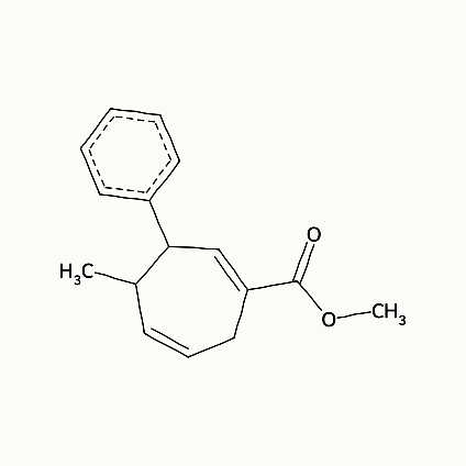 COC(=O)C1=CC(c2ccccc2)C(C)C=CC1